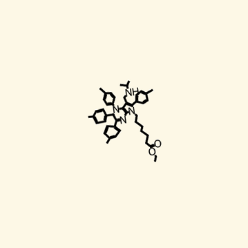 CCOC(=O)CCCCCCn1c2c(c(CNC(C)C)c1-c1ccc(C)cc1)N(c1ccc(C)cc1)C(c1ccc(C)cc1)C(c1ccc(C)cc1)=N2